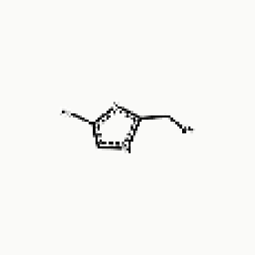 [CH2]Cc1cnc(CC(C)C)s1